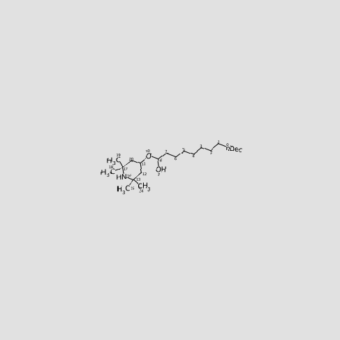 CCCCCCCCCCCCCCCCCC(O)OC1CC(C)(C)NC(C)(C)C1